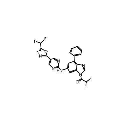 O=C(C(F)F)n1cnc2c(-c3ccccc3)cc(Nc3ncc(-c4nnc(C(F)F)o4)cn3)cc21